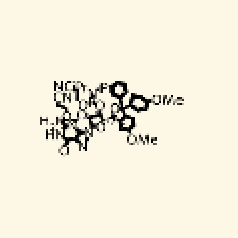 COc1ccc(C(OC(C(C)=O)[C@H]2O[C@@H](n3cnc4c(=O)[nH]c(N)nc43)[C@H](OCOCCC#N)[C@@H]2OP(OCCC#N)N(C(C)C)C(C)C)(c2ccccc2)c2ccc(OC)cc2)cc1